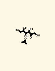 CC(C)=O.O=C(CO)C(O)C(O)C(O)CO